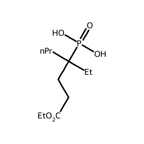 CCCC(CC)(CCC(=O)OCC)P(=O)(O)O